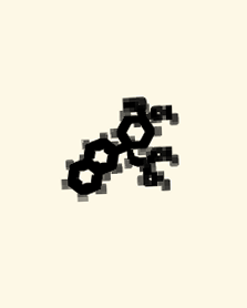 CN(C)C[C@]1(c2ccc3ccccc3c2)CC[C@@](C)(O)CC1